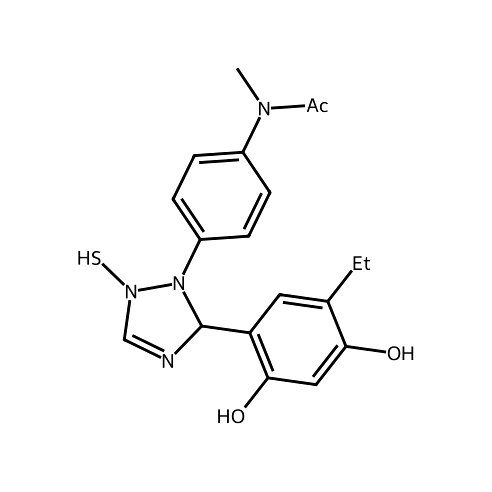 CCc1cc(C2N=CN(S)N2c2ccc(N(C)C(C)=O)cc2)c(O)cc1O